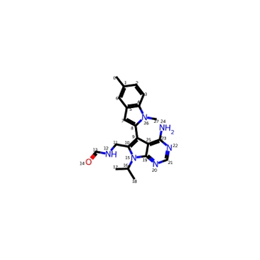 Cc1ccc2c(c1)cc(-c1c(CNC=O)n(C(C)C)c3ncnc(N)c13)n2C